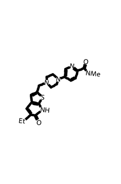 CCc1cc2cc(CN3CCN(c4ccc(C(=O)NC)nc4)CC3)sc2[nH]c1=O